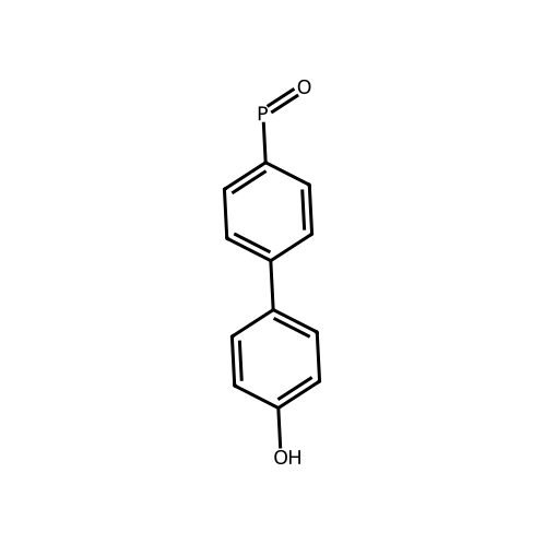 O=Pc1ccc(-c2ccc(O)cc2)cc1